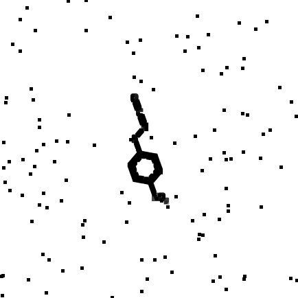 O=C=NSc1ccc([N+](=O)[O-])cc1